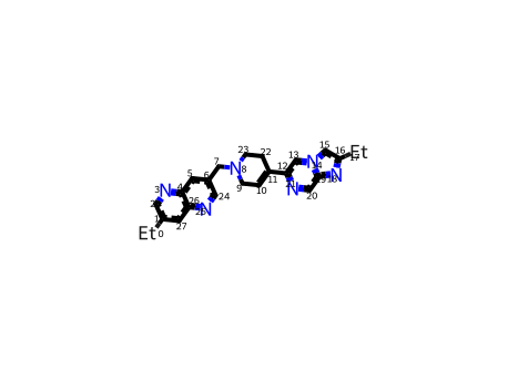 CCc1cnc2cc(CN3CC=C(c4cn5cc(CC)nc5cn4)CC3)cnc2c1